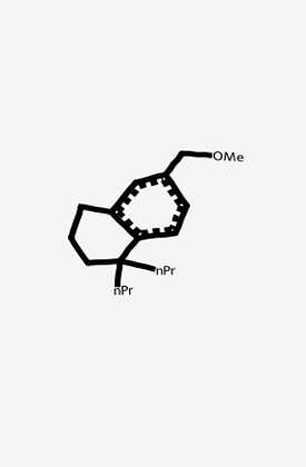 CCCC1(CCC)CCCc2cc(COC)ccc21